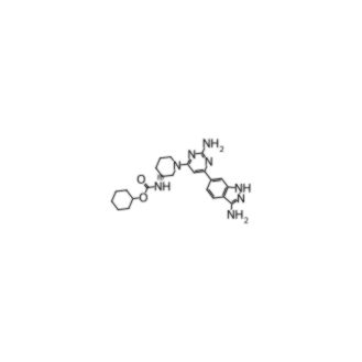 Nc1nc(-c2ccc3c(N)n[nH]c3c2)cc(N2CCC[C@@H](NC(=O)OC3CCCCC3)C2)n1